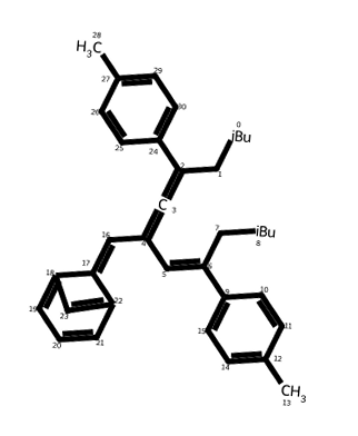 CCC(C)CC(=C=C(C=C(CC(C)CC)c1ccc(C)cc1)C=c1c2cccc1=C2)c1ccc(C)cc1